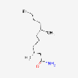 CC(C)CCCC(C)CCCC(C)CC(N)=O